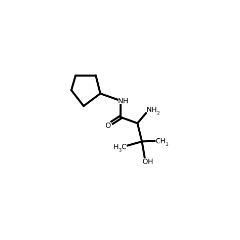 CC(C)(O)C(N)C(=O)NC1CCCC1